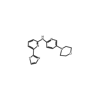 c1cc(Nc2ccc(N3CCOCC3)cn2)nc(-c2nccs2)c1